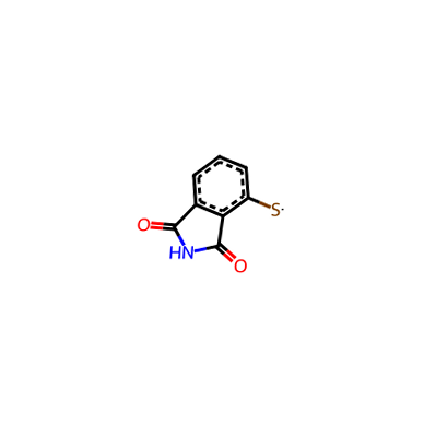 O=C1NC(=O)c2c([S])cccc21